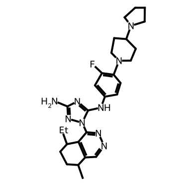 CCC1CCC(C)c2cnnc(-n3nc(N)nc3Nc3ccc(N4CCC(N5CCCC5)CC4)c(F)c3)c21